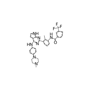 Cc1c(NC(=O)c2cccc(C(F)(F)F)c2)cccc1-c1nc(Nc2ccc(N3CCN(C)CC3)cc2)c2cc[nH]c2n1